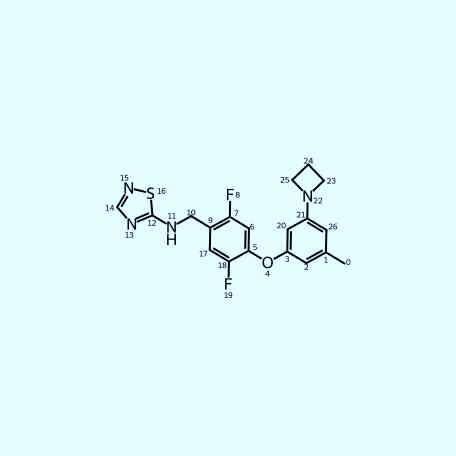 Cc1cc(Oc2cc(F)c(CNc3ncns3)cc2F)cc(N2CCC2)c1